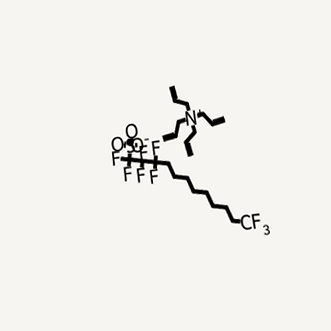 C=CC[N+](CC=C)(CC=C)CC=C.O=S(=O)([O-])C(F)(F)C(F)(F)C(F)(F)CCCCCCCCC(F)(F)F